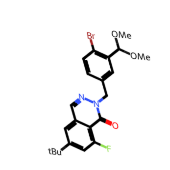 COC(OC)c1cc(Cn2ncc3cc(C(C)(C)C)cc(F)c3c2=O)ccc1Br